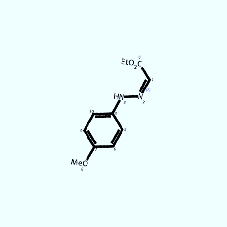 CCOC(=O)/C=N\Nc1ccc(OC)cc1